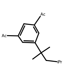 CC(=O)c1cc(C(C)=O)cc(C(C)(C)CC(C)C)c1